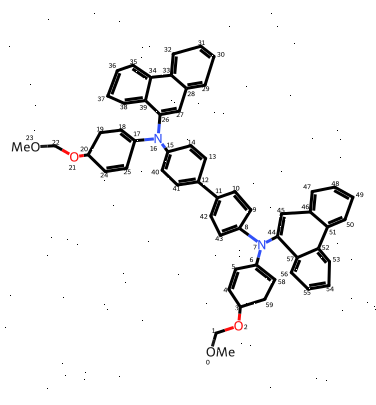 COCOC1C=CC(N(c2ccc(-c3ccc(N(C4=CCC(OCOC)C=C4)c4cc5ccccc5c5ccccc45)cc3)cc2)c2cc3ccccc3c3ccccc23)=CC1